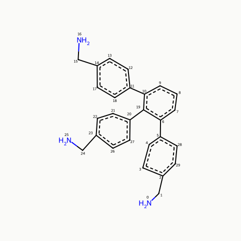 NCc1ccc(-c2cccc(-c3ccc(CN)cc3)c2-c2ccc(CN)cc2)cc1